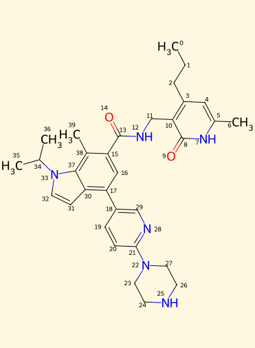 CCCc1cc(C)[nH]c(=O)c1CNC(=O)c1cc(-c2ccc(N3CCNCC3)nc2)c2ccn(C(C)C)c2c1C